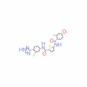 COc1ccc(C(=O)Nc2ccc(C(=O)Nc3ccc(-c4nc[nH]n4)c(F)c3)s2)c(C)c1